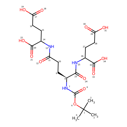 CC(C)(C)OC(=O)N[C@@H](CCC(=O)NC(CCC(=O)O)C(=O)O)C(=O)NC(CCC(=O)O)C(=O)O